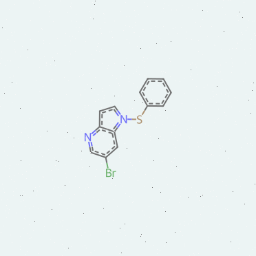 Brc1cnc2ccn(Sc3ccccc3)c2c1